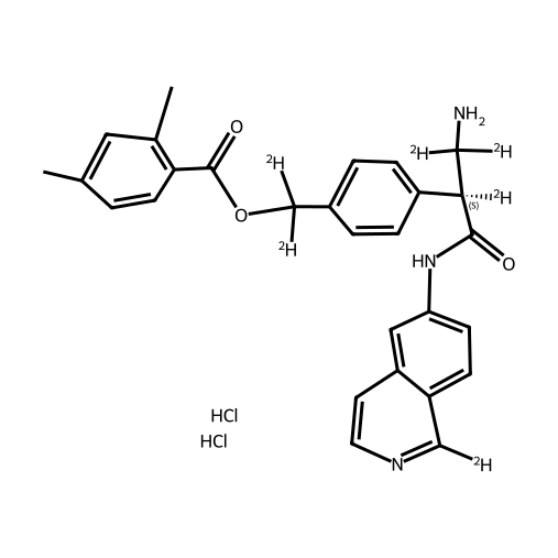 Cl.Cl.[2H]c1nccc2cc(NC(=O)[C@@]([2H])(c3ccc(C([2H])([2H])OC(=O)c4ccc(C)cc4C)cc3)C([2H])([2H])N)ccc12